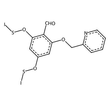 O=Cc1c(OCc2ccccn2)cc(OSI)cc1OSI